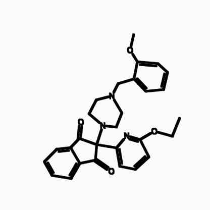 CCOc1cccc(C2(N3CCN(Cc4ccccc4OC)CC3)C(=O)c3ccccc3C2=O)n1